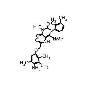 CNc1c(NC(=O)COc2cc(C)c(N)c(C)c2C)c(=O)n(C)c(=O)n1-c1cccc(C)c1C